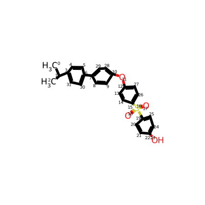 CC(C)c1ccc(-c2ccc(Oc3ccc(S(=O)(=O)c4ccc(O)cc4)cc3)cc2)cc1